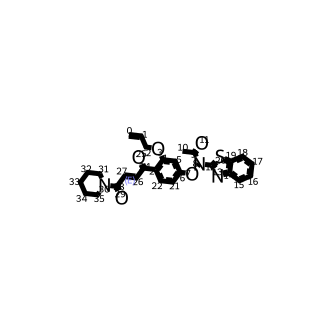 C=CCOc1cc(ON(C(C)=O)c2nc3ccccc3s2)ccc1C(=O)/C=C/C(=O)N1CCCCC1